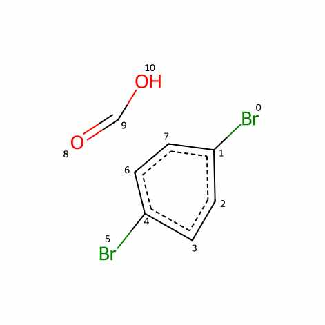 Brc1ccc(Br)cc1.O=CO